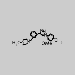 COc1cc(-n2cc(-c3cccc(CN4CCN(C)CC4)c3)nn2)ccc1C